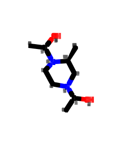 CB(O)N1CCN(B(C)O)[C@@H](C)C1